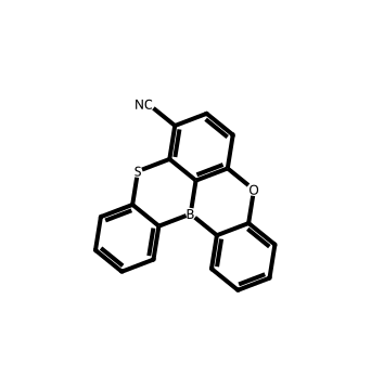 N#Cc1ccc2c3c1Sc1ccccc1B3c1ccccc1O2